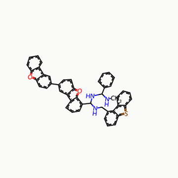 CNC(NC(NCc1cccc2sc3ccccc3c12)c1cccc2c1oc1ccc(-c3ccc4oc5ccccc5c4c3)cc12)c1ccccc1